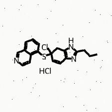 CCCc1nc2c([nH]1)CC(Cl)(Sc1cccc3cnccc13)C=C2.Cl